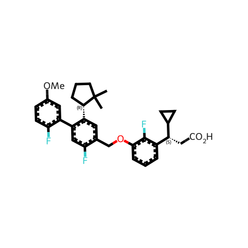 COc1ccc(F)c(-c2cc(F)c(COc3cccc([C@@H](CC(=O)O)C4CC4)c3F)cc2[C@@H]2CCCC2(C)C)c1